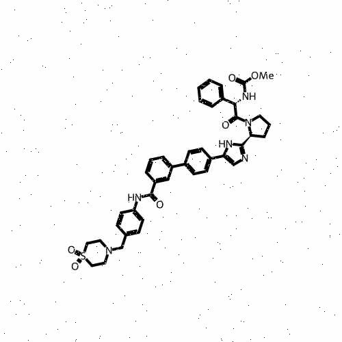 COC(=O)N[C@H](C(=O)N1CCC[C@H]1c1ncc(-c2ccc(-c3cccc(C(=O)Nc4ccc(CN5CCS(=O)(=O)CC5)cc4)c3)cc2)[nH]1)c1ccccc1